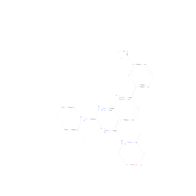 CC1COCCN1c1nc(N2CCOCC2C)c2ccc(-c3cccc([N+](=O)[O-])c3)nc2n1